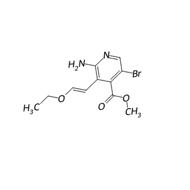 CCO/C=C/c1c(N)ncc(Br)c1C(=O)OC